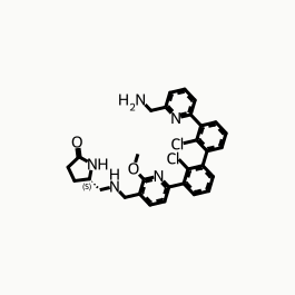 COc1nc(-c2cccc(-c3cccc(-c4cccc(CN)n4)c3Cl)c2Cl)ccc1CNC[C@@H]1CCC(=O)N1